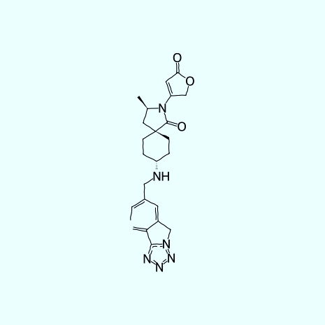 C=C1/C(=C\C(=C/C)CN[C@H]2CC[C@@]3(CC2)C[C@@H](C)N(C2=CC(=O)OC2)C3=O)Cn2nnnc21